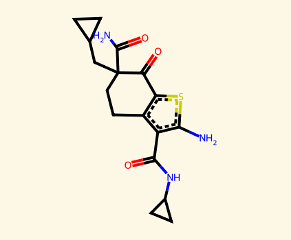 NC(=O)C1(CC2CC2)CCc2c(sc(N)c2C(=O)NC2CC2)C1=O